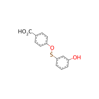 O=C(O)c1ccc(OSc2cccc(O)c2)cc1